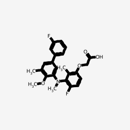 COc1c(C)cc(-c2cccc(F)c2)cc1N(C)c1c(F)ccc(OCC(=O)O)c1C